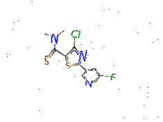 CN(C)C(=S)c1sc(-c2cncc(F)c2)nc1Cl